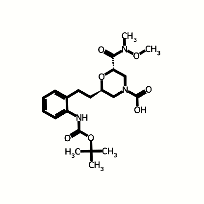 CON(C)C(=O)[C@@H]1CN(C(=O)O)C[C@@H](CCc2ccccc2NC(=O)OC(C)(C)C)O1